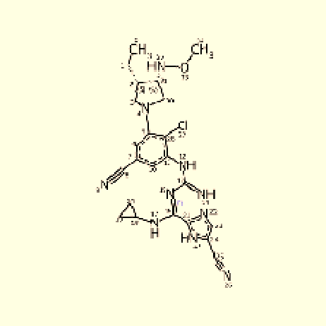 CC[C@H]1CN(c2cc(C#N)cc(NC(=N)/N=C(/NC3CC3)c3ncc(C#N)[nH]3)c2Cl)C[C@H]1NOC